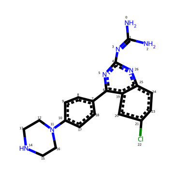 NC(N)=Nc1nc(-c2ccc(N3CCNCC3)cc2)c2cc(Cl)ccc2n1